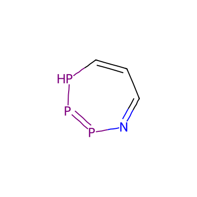 C1=CPP=PN=C1